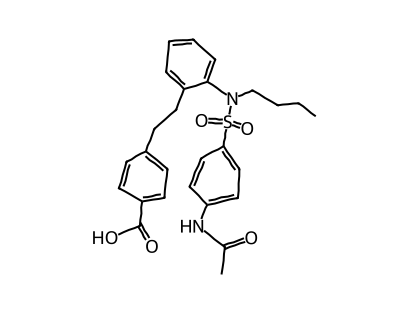 CCCCN(c1ccccc1CCc1ccc(C(=O)O)cc1)S(=O)(=O)c1ccc(NC(C)=O)cc1